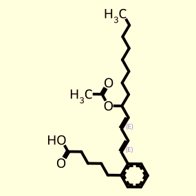 CCCCCCCCC(/C=C/C=C/c1ccccc1CCCCC(=O)O)OC(C)=O